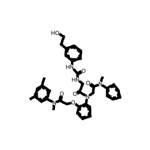 Cc1cc(C)cc(N(C)C(=O)COc2ccccc2N(CC(=O)N(C)c2ccccc2)C(=O)CNC(=O)Nc2cccc(CCO)c2)c1